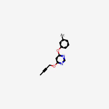 CC#CCOc1cc(Oc2cccc(C(C)=O)c2)ncn1